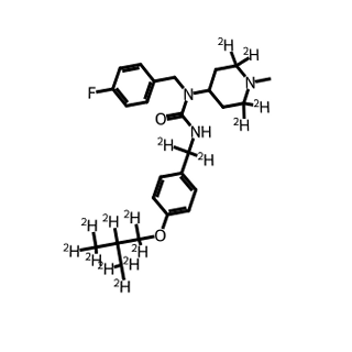 [2H]C([2H])(NC(=O)N(Cc1ccc(F)cc1)C1CC([2H])([2H])N(C)C([2H])([2H])C1)c1ccc(OC([2H])([2H])C([2H])(C([2H])([2H])[2H])C([2H])([2H])[2H])cc1